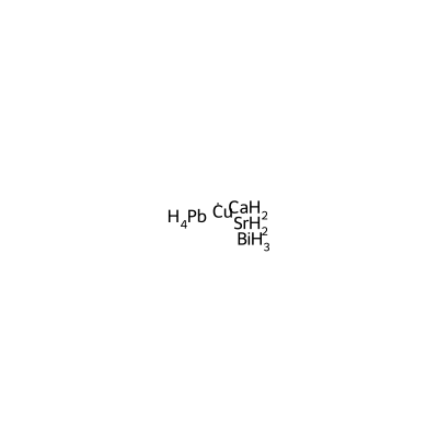 [BiH3].[CaH2].[Cu].[PbH4].[SrH2]